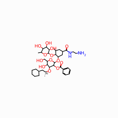 CC1CC(C(=O)NCCN)CC(OC2OC(CO)C(O)C(O[C@H](C)CC3CCCCC3)C2OC(=O)c2ccccc2)C1OC1OC(C)C(O)C(O)C1O